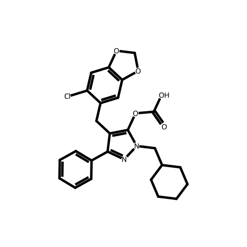 O=C(O)Oc1c(Cc2cc3c(cc2Cl)OCO3)c(-c2ccccc2)nn1CC1CCCCC1